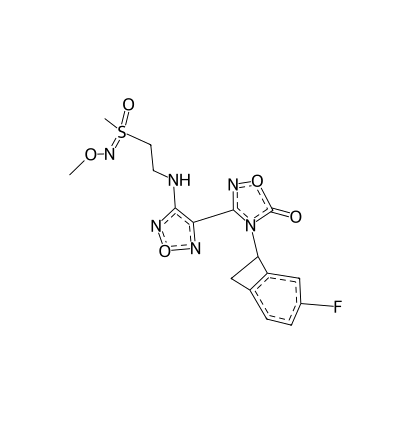 CON=S(C)(=O)CCNc1nonc1-c1noc(=O)n1C1Cc2ccc(F)cc21